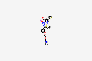 CCN(CC)CCOCCOc1cccc(-c2nc(Nc3ncc(-c4cccs4)cc3C(=O)OI)sc2CC(C)C)c1